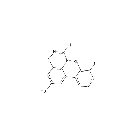 Cc1cc2c(c(-c3cccc(F)c3Cl)c1)NC(Cl)=NS2